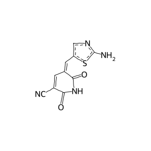 N#CC1=C/C(=C/c2cnc(N)s2)C(=O)NC1=O